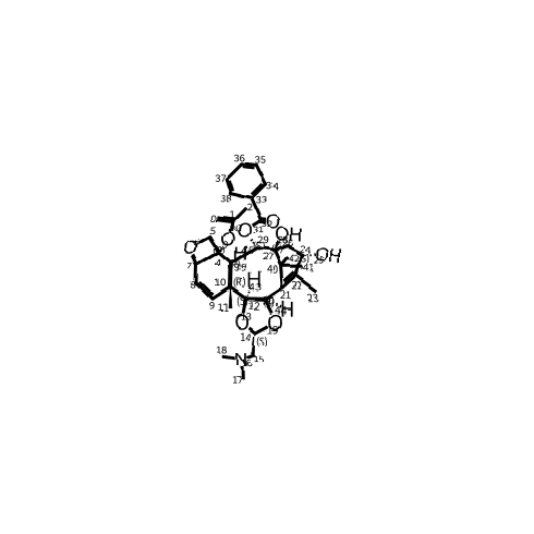 C=C(C)O[C@@]12COC1C=C[C@@]1(C)[C@@H]3O[C@H](CN(C)C)O[C@@H]3C3=C(C)[C@@H](O)C[C@@](O)([C@@H](OC(=O)c4ccccc4)[C@@H]12)C3(C)C